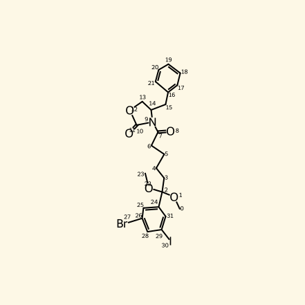 COC(CCCCC(=O)N1C(=O)OCC1Cc1ccccc1)(OC)c1cc(Br)cc(I)c1